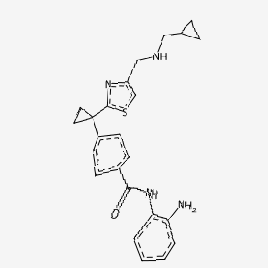 Nc1ccccc1NC(=O)c1ccc(C2(c3nc(CNCC4CC4)cs3)CC2)cc1